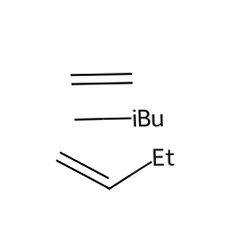 C=C.C=CCC.CCC(C)C